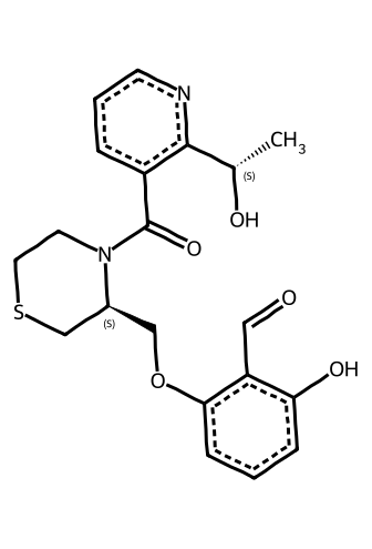 C[C@H](O)c1ncccc1C(=O)N1CCSC[C@@H]1COc1cccc(O)c1C=O